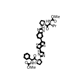 COC(=O)N[C@H](C(=O)N1CCC[C@H]1c1nc2ccc(-c3csc4c(-c5cnc([C@@H]6CCCN6C(=O)[C@H](NC(=O)OC)c6ccccc6)[nH]5)csc34)cc2[nH]1)C(C)C